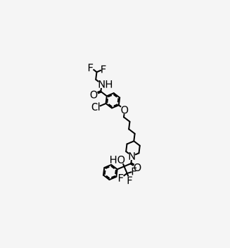 O=C(NCC(F)F)c1ccc(OCCCCC2CCN(C(=O)C(O)(c3ccccc3)C(F)(F)F)CC2)cc1Cl